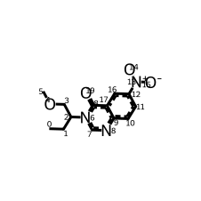 CCC(COC)n1cnc2ccc([N+](=O)[O-])cc2c1=O